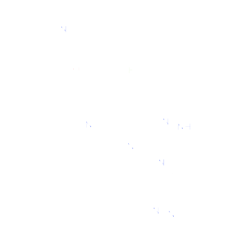 CN(C)CCOc1cc(F)cc(-c2nccc3[nH]c(-c4n[nH]c5ccc(-c6cnn(C)c6)nc45)cc23)c1